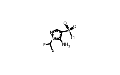 Nc1c(S(=O)(=O)Cl)cnn1C(F)F